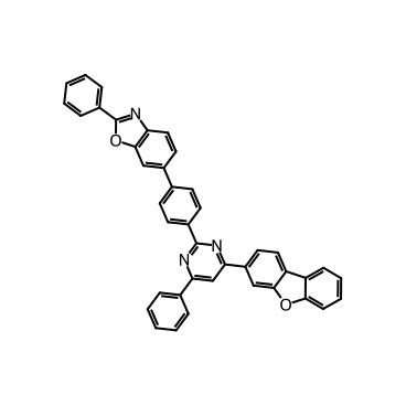 c1ccc(-c2cc(-c3ccc4c(c3)oc3ccccc34)nc(-c3ccc(-c4ccc5nc(-c6ccccc6)oc5c4)cc3)n2)cc1